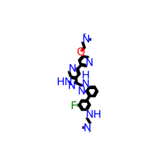 CN(C)CCNc1cc(F)cc(-c2cccc3[nH]c(-c4n[nH]c5cnc(-c6cncc(OCCN(C)C)c6)cc45)nc23)c1